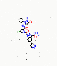 NC(=O)c1nn(CC(=O)N2CC(F)C[C@H]2C(=O)Nc2cc(=O)[nH]n2C2CCCCC2)c2ccc(-c3ccnnc3)cc12